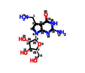 NCc1cn([C@@H]2O[C@H](CO)C(O)[C@@H]2O)c2nc(N)[nH]c(=O)c12